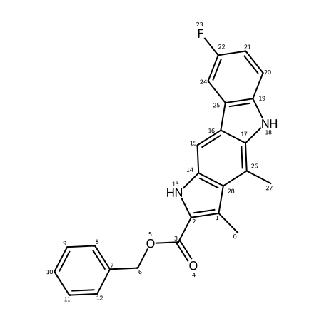 Cc1c(C(=O)OCc2ccccc2)[nH]c2cc3c([nH]c4ccc(F)cc43)c(C)c12